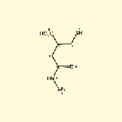 CCCNC(=O)CC(CS)C(=O)O